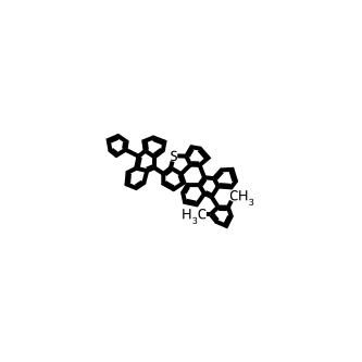 Cc1cccc(C)c1-c1c2ccccc2c(-c2cccc3sc4c(-c5c6ccccc6c(-c6ccccc6)c6ccccc56)cccc4c23)c2ccccc12